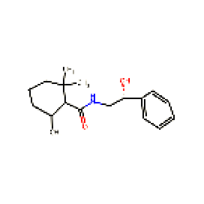 CC1CCCC(C)(C)C1C(=O)NC[C@H](O)c1ccccc1